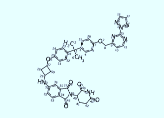 CC(C)(c1ccc(OCc2ccnc(-n3nccn3)n2)cc1)c1ccc(OC2CC(Nc3ccc4c(c3)C(=O)N(C3CCC(=O)NC3=O)C4=O)C2)cc1